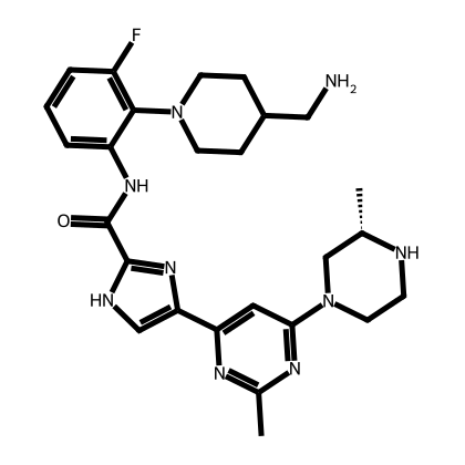 Cc1nc(-c2c[nH]c(C(=O)Nc3cccc(F)c3N3CCC(CN)CC3)n2)cc(N2CCN[C@@H](C)C2)n1